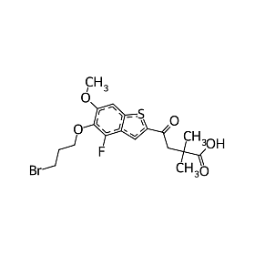 COc1cc2sc(C(=O)CC(C)(C)C(=O)O)cc2c(F)c1OCCCBr